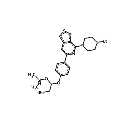 CCN1CCN(c2nc(-c3ccc(OC(CC(C)(C)C)O[SiH](C)C)cc3)cc3cscc23)CC1